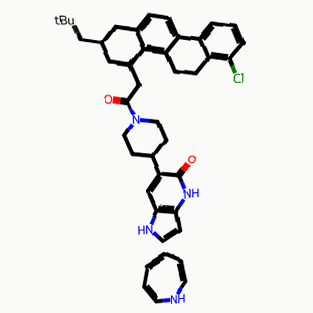 C1=CC=CNC=C1.CC(C)(C)CC1Cc2ccc3c(c2C(CC(=O)N2CCC(c4cc5[nH]ccc5[nH]c4=O)CC2)C1)CCc1c(Cl)cccc1-3